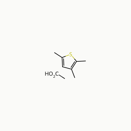 CC(=O)O.Cc1cc(C)c(C)s1